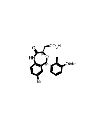 COc1cccc([C@H]2O[C@H](CC(=O)O)C(=O)Nc3ccc(Br)cc32)c1C